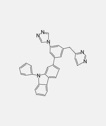 c1ccc(-n2c3ccccc3c3ccc(-c4cc(Cc5ccncn5)cc(-n5cnnc5)c4)cc32)cc1